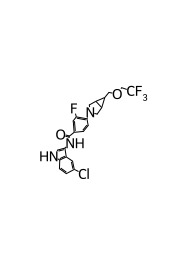 O=C(Nc1c[nH]c2ccc(Cl)cc12)c1ccc(N2CC3C(COCC(F)(F)F)C3C2)c(F)c1